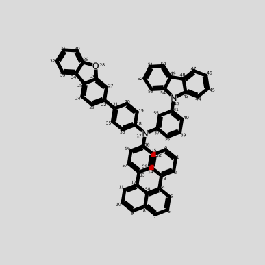 c1ccc(-c2cccc3cccc(-c4ccc(N(c5ccc(-c6ccc7c(c6)oc6ccccc67)cc5)c5cccc(-n6c7ccccc7c7ccccc76)c5)cc4)c23)cc1